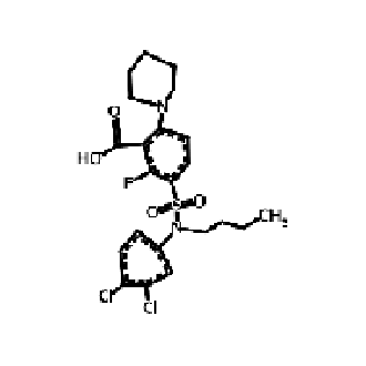 CCCCN(c1ccc(Cl)c(Cl)c1)S(=O)(=O)c1ccc(N2CCCCC2)c(C(=O)O)c1F